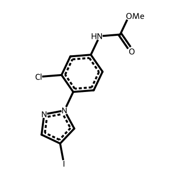 COC(=O)Nc1ccc(-n2cc(I)cn2)c(Cl)c1